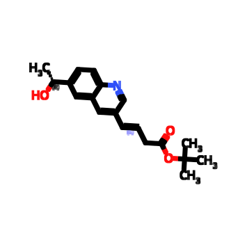 C[C@@H](O)c1ccc2ncc(/C=C/CC(=O)OC(C)(C)C)cc2c1